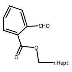 CCCCCCCCOC(=O)c1ccccc1C=O